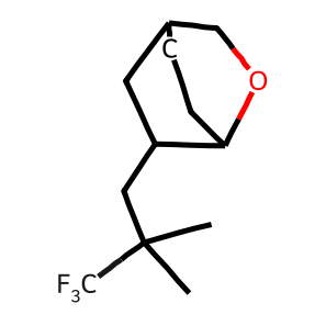 CC(C)(CC1CC2CCC1OC2)C(F)(F)F